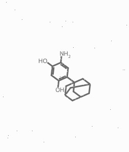 Nc1cc(C23CC4CC(CC(C4)C2)C3)c(O)cc1O